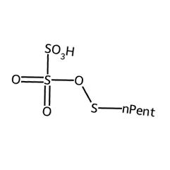 CCCCCSOS(=O)(=O)S(=O)(=O)O